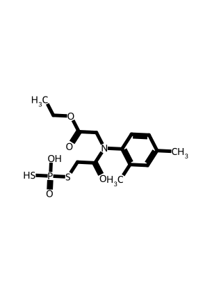 CCOC(=O)CN(C(=O)CSP(=O)(O)S)c1ccc(C)cc1C